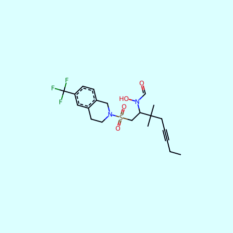 CCC#CCC(C)(C)C(CS(=O)(=O)N1CCc2cc(C(F)(F)F)ccc2C1)N(O)C=O